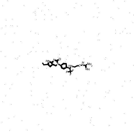 CCc1cc2cn(-c3ccc(C(NCCCNC(=N)N)C(F)(F)F)cc3)c(=O)nc2[nH]1